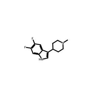 CN1CCC(c2c[nH]c3cc(F)c(F)cc23)CC1